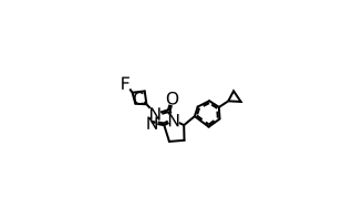 O=c1n(C23CC(F)(C2)C3)nc2n1C(c1ccc(C3CC3)cc1)CC2